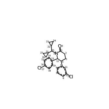 O=C1CCC(c2cccc(Cl)c2)C(c2ccc(Cl)cc2)N1C(C1CC1)C1CC1